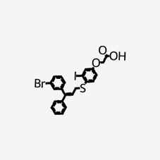 O=C(O)COc1ccc(SCC=C(c2ccccc2)c2cccc(Br)c2)c(I)c1